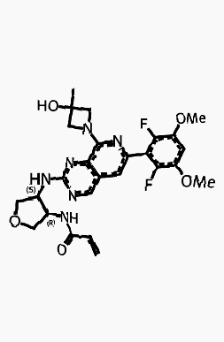 C=CC(=O)N[C@H]1COC[C@H]1Nc1ncc2cc(-c3c(F)c(OC)cc(OC)c3F)nc(N3CC(C)(O)C3)c2n1